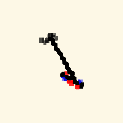 CC(C)CCCCCCCCCCCCCC=CC(CC(=O)C1=NCCO1)C(=O)C1=NCCO1